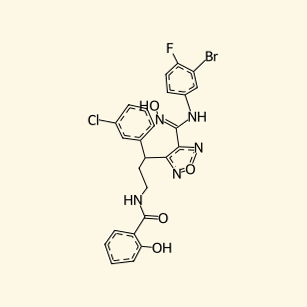 O=C(NCCC(c1cccc(Cl)c1)c1nonc1C(=NO)Nc1ccc(F)c(Br)c1)c1ccccc1O